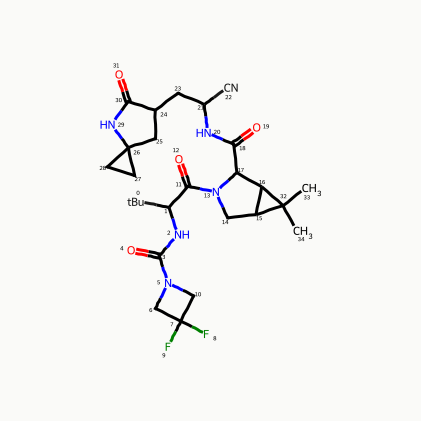 CC(C)(C)C(NC(=O)N1CC(F)(F)C1)C(=O)N1CC2C(C1C(=O)NC(C#N)CC1CC3(CC3)NC1=O)C2(C)C